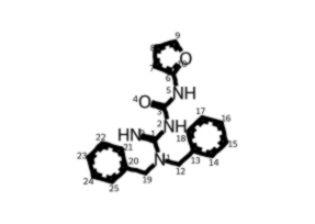 N=C(NC(=O)Nc1ccco1)N(Cc1ccccc1)Cc1ccccc1